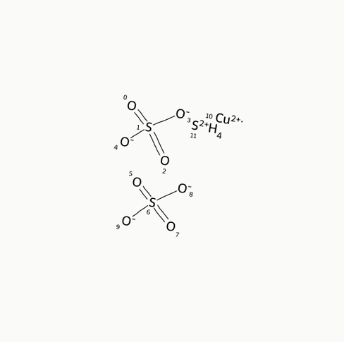 O=S(=O)([O-])[O-].O=S(=O)([O-])[O-].[Cu+2].[SH4+2]